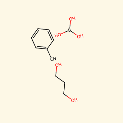 N#Cc1ccccc1.OB(O)O.OCCCO